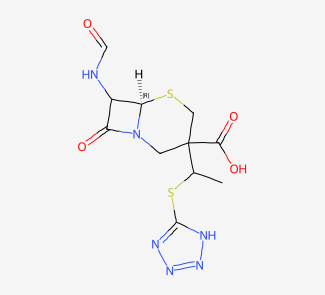 CC(Sc1nnn[nH]1)C1(C(=O)O)CS[C@@H]2C(NC=O)C(=O)N2C1